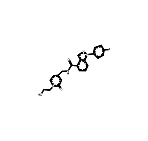 O=C(NCc1ccn(CCO)c(=O)c1)c1cccc2c1cnn2-c1ccc(F)cc1